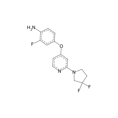 Nc1ccc(Oc2ccnc(N3CCC(F)(F)C3)c2)cc1F